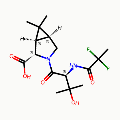 CC(F)(F)C(=O)N[C@H](C(=O)N1C[C@H]2[C@@H]([C@H]1C(=O)O)C2(C)C)C(C)(C)O